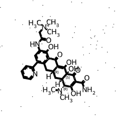 CN(C)[C@H]1C(O)=C(C(N)=O)C(=O)[C@@]2(O)C(O)=C3C(=O)c4c(O)c(NC(=O)C[N+](C)(C)C)cc(-c5ccccn5)c4C[C@H]3C[C@@H]12